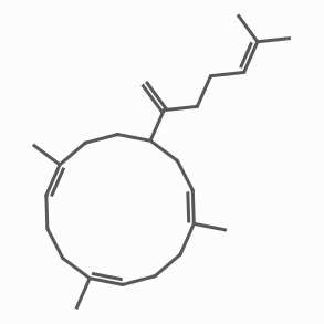 C=C(CCC=C(C)C)C1CC=C(C)CCC=C(C)CCC=C(C)CC1